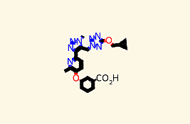 Cc1nc(-c2nnn(C)c2Cn2nnc(OCC3CC3)n2)ccc1O[C@H]1CCC[C@H](C(=O)O)C1